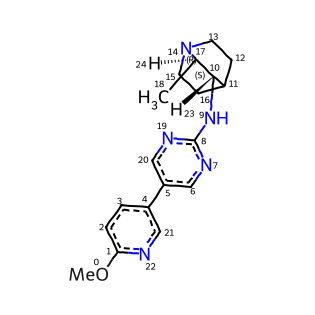 COc1ccc(-c2cnc(N[C@H]3C4CCN(CC4)[C@@H]3C)nc2)cn1